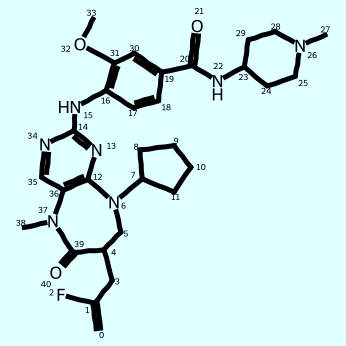 C=C(F)CC1CN(C2CCCC2)c2nc(Nc3ccc(C(=O)NC4CCN(C)CC4)cc3OC)ncc2N(C)C1=O